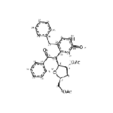 CC(=O)OC[C@@H]1C[C@@H](OC(C)=O)[C@H](N(C(=O)c2ccccc2)c2nc(=O)[nH]cc2Cc2ccccc2)O1